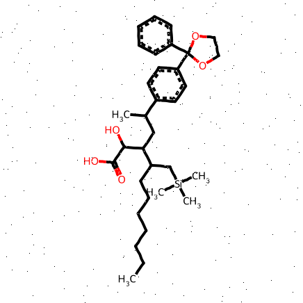 CCCCCCCC(C[Si](C)(C)C)C(CC(C)c1ccc(C2(c3ccccc3)OCCO2)cc1)C(O)C(=O)O